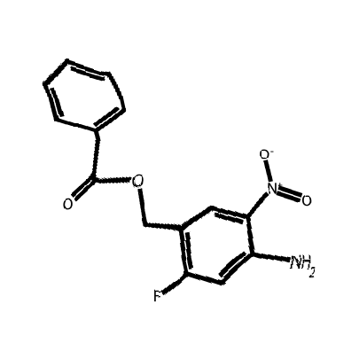 Nc1cc(F)c(COC(=O)c2ccccc2)cc1[N+](=O)[O-]